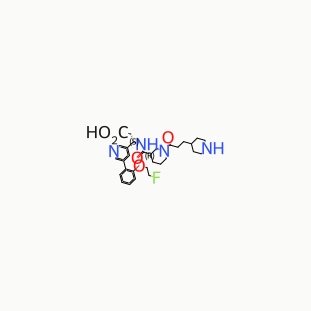 O=C(O)C[C@H](NC(=O)[C@@H]1CCCN(C(=O)CCC2CCNCC2)C1)c1cncc(-c2ccccc2OCCF)c1